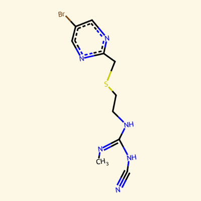 CN=C(NC#N)NCCSCc1ncc(Br)cn1